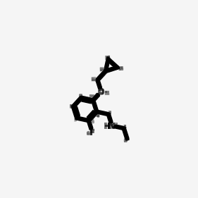 CCNCc1c(F)cccc1OCC1CC1